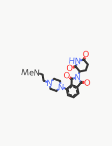 CNCCN1CCN(c2cccc3c2C(=O)N(C2CCC(=O)NC2=O)C3=O)CC1